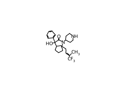 C/C(=C\CCN(C(=O)C(O)(c1ccccc1)C1CCCC1)C1CCNCC1)C(F)(F)F